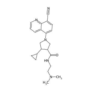 CN(C)CCNC(=O)C1CN(c2ccc(C#N)c3ncccc23)CC1C1CC1